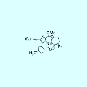 CCN1CCCC[C@@H](N(c2cc(C#CC(C)(C)C)sc2C(=O)OC)C(=O)[C@H]2CC[C@H](C)CC2)C1=O